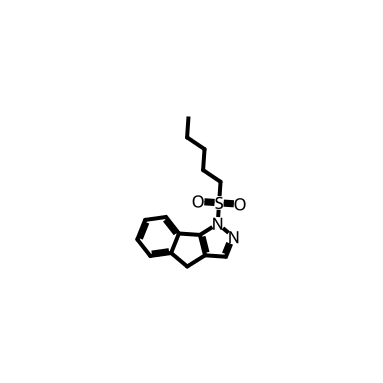 CCCCCS(=O)(=O)n1ncc2c1-c1ccccc1C2